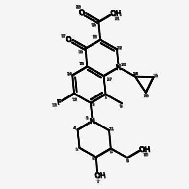 Cc1c(N2CCC(O)C(CO)C2)c(F)cc2c(=O)c(C(=O)O)cn(C3CC3)c12